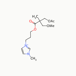 COCC(C)(COC(C)=O)C(=O)OCCC[n+]1ccn(C)c1